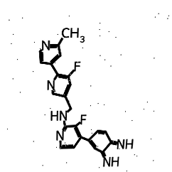 Cc1cc(-c2ncc(CNc3nccc(C4=CC(=N)C(=N)C=C4)c3F)cc2F)ccn1